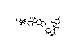 COc1ncc(-c2ccc3nc(N)c(-c4ccc(CS(N)(=O)=O)cc4)cc3c2)cc1NS(=O)(=O)c1ccc(F)cc1F